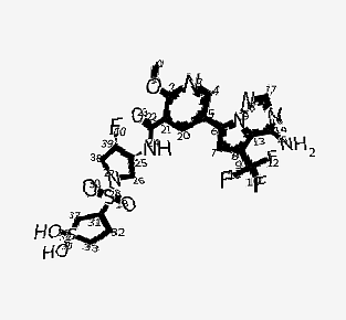 COc1ncc(-c2cc(C(F)(F)F)c3c(N)ncnn23)cc1C(=O)N[C@@H]1CN(S(=O)(=O)C2CCS(O)(O)C2)C[C@@H]1F